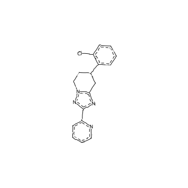 Clc1ccccc1C1CCn2nc(-c3ccccn3)nc2C1